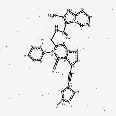 C[C@H](NC(=O)c1c(N)nc2cccnn12)c1cn2ccc(C#Cc3cnn(C)c3)c2c(=O)n1-c1ccccc1